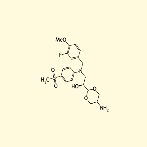 COc1ccc(CN(C[C@H](O)C2OCC(N)CO2)c2ccc(S(C)(=O)=O)cc2)cc1F